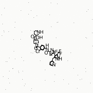 Cn1c(-c2c(C(F)(F)F)n[nH]c2Cc2cccnc2)cnc1C(=O)Nc1ccc(C(=O)N2CCN(C(=O)C3(O)CCCNC3)CC2)c(Cl)c1